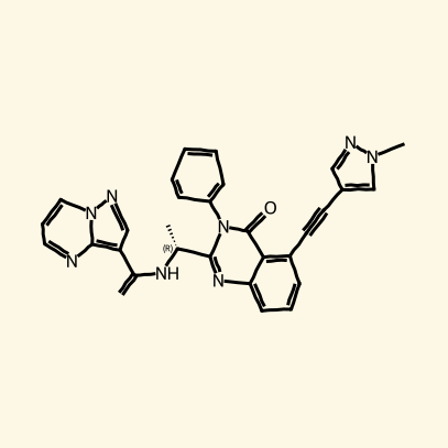 C=C(N[C@H](C)c1nc2cccc(C#Cc3cnn(C)c3)c2c(=O)n1-c1ccccc1)c1cnn2cccnc12